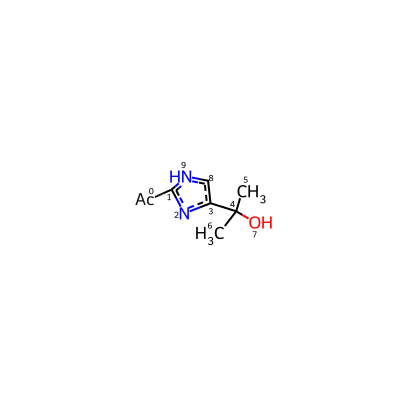 CC(=O)c1nc(C(C)(C)O)c[nH]1